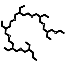 CCCC(CC)COCC(CC)CCOCC(CC)CCOCC(CC)CCOCC(CC)COCC(CC)COCC